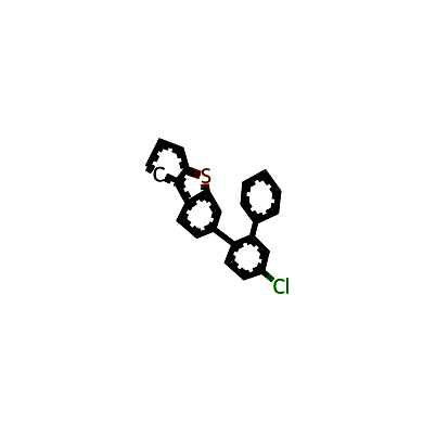 Clc1ccc(-c2ccc3c(c2)sc2ccccc23)c(-c2ccccc2)c1